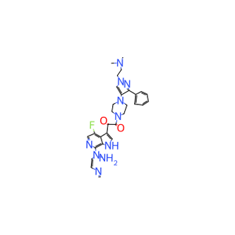 C=N/C=C\N(N)c1ncc(F)c2c(C(=O)C(=O)N3CCN(c4cn(CCN(C)C)nc4-c4ccccc4)CC3)c[nH]c12